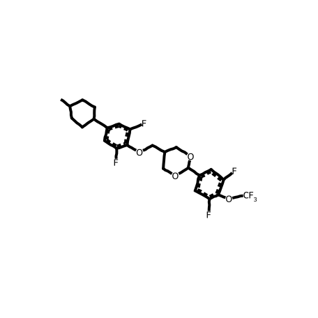 CC1CCC(c2cc(F)c(OCC3COC(c4cc(F)c(OC(F)(F)F)c(F)c4)OC3)c(F)c2)CC1